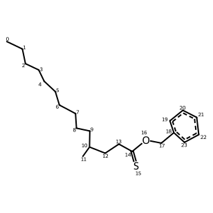 CCCCCCCCCCC(C)CCC(=S)OCc1ccccc1